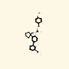 CC(=O)c1ccc(C)c(-c2ccc3c(c2)C2(CCCC2)CN3C(=O)NCc2ccc(SN)cc2)c1